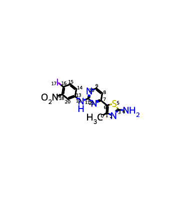 Cc1nc(N)sc1-c1ccnc(Nc2ccc(I)c([N+](=O)[O-])c2)n1